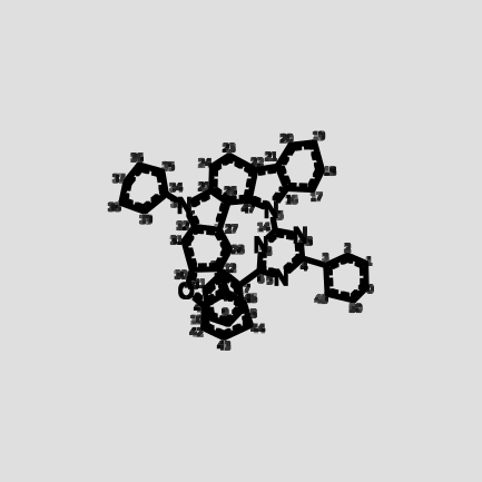 c1ccc(-c2nc(-c3ccccc3)nc(-n3c4ccccc4c4ccc5c(c6cc7c(cc6n5-c5ccccc5)oc5ccccc57)c43)n2)cc1